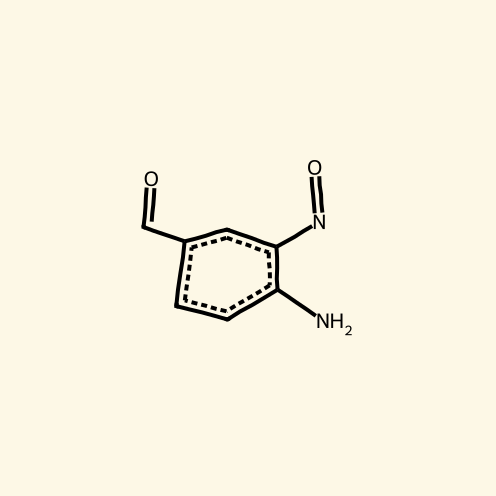 Nc1ccc(C=O)cc1N=O